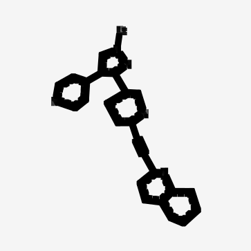 CCn1cc(-c2ccncc2)c(-c2ccc(C#Cc3ccc4ccccc4n3)nc2)n1